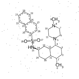 CC1CCC(N2CCN(C)CC2)C2C[C@H](NS(=O)(=O)c3[c]c4ccccc4cc3)CCC12